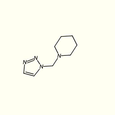 c1cn(CN2CCCCC2)nn1